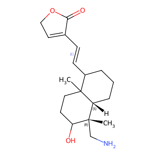 CC12CCC(O)[C@@](C)(CN)[C@H]1CCCC2/C=C/C1=CCOC1=O